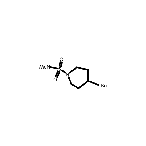 CNS(=O)(=O)N1CCC(C(C)(C)C)CC1